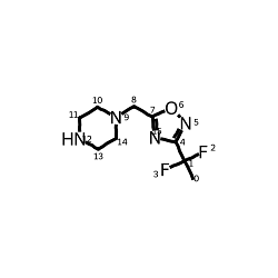 CC(F)(F)c1noc(CN2CCNCC2)n1